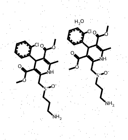 COC(=O)C1=C(C)NC(C[S+]([O-])CCCN)=C(C(=O)OC)C1c1ccccc1Cl.COC(=O)C1=C(C)NC(C[S+]([O-])CCCN)=C(C(=O)OC)C1c1ccccc1Cl.O